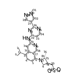 CC(C)c1ccc(N2C[C@H](CS(C)(=O)=O)[C@H]2C)c2cnc(Nc3ccnc(-c4cnn(C)c4)n3)cc12